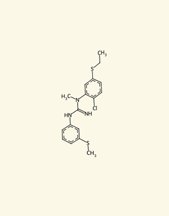 CCSc1ccc(Cl)c(N(C)C(=N)Nc2cccc(SC)c2)c1